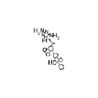 CCc1nc(N)nc(N)c1C#CC(C)c1cc2c(c(-c3ccc(C(=O)C(O)c4ccccc4)cc3)c1)OCO2